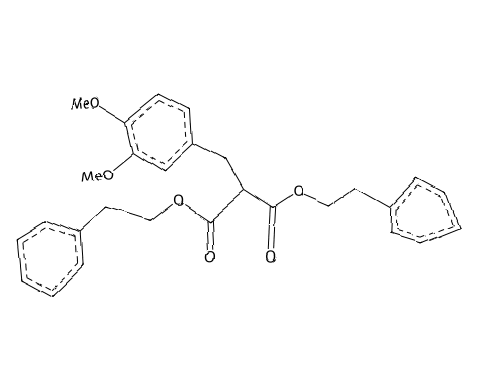 COc1ccc(CC(C(=O)OCCc2ccccc2)C(=O)OCCc2ccccc2)cc1OC